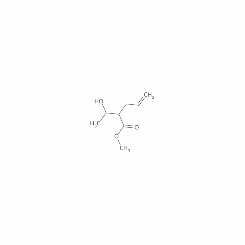 C=CCC(C(=O)OC)C(C)O